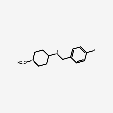 O=C(O)N1CCC(NCc2ccc(F)cc2)CC1